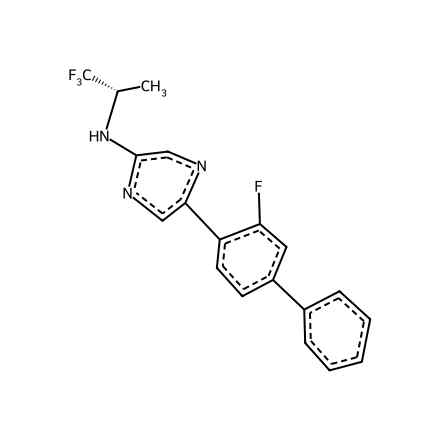 C[C@H](Nc1cnc(-c2ccc(-c3ccccc3)cc2F)cn1)C(F)(F)F